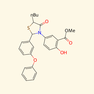 CCCCC1SC(c2cccc(Oc3ccccc3)c2)N(c2ccc(O)c(C(=O)OC)c2)C1=O